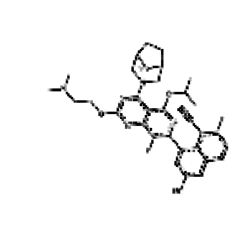 C#Cc1c(F)ccc2cc(O)cc(-c3nc(OC(C)C)c4c(N5CC6CCC(C5)N6)nc(OCCN(C)C)nc4c3F)c12